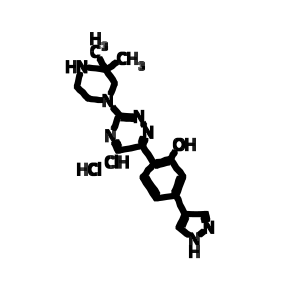 CC1(C)CN(c2ncc(-c3ccc(-c4cn[nH]c4)cc3O)nn2)CCN1.Cl.Cl